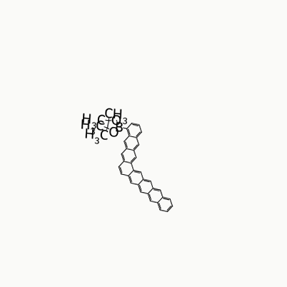 CC1(C)OB(c2cccc3cc4cc5c(ccc6cc7cc8cc9ccccc9cc8cc7cc65)cc4cc23)OC1(C)C